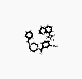 COc1cc(C(=O)N2CCCN(Cc3ccccc3)CC2)ccc1NS(=O)(=O)c1cccc2cccnc12